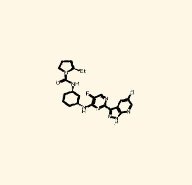 CC[C@@H]1CCCN1C(=O)N[C@@H]1CCC[C@H](Nc2nc(-c3n[nH]c4ncc(Cl)cc34)ncc2F)C1